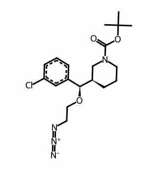 CC(C)(C)OC(=O)N1CCC[C@@H]([C@@H](OCCN=[N+]=[N-])c2cccc(Cl)c2)C1